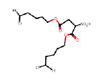 CCC(CC)CCCCOC(=O)CC(C(=O)OCCCCC(CC)CC)S(=O)(=O)O